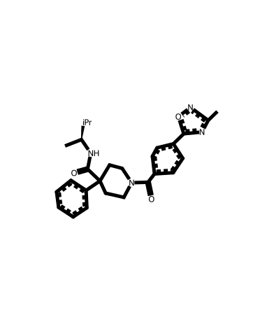 Cc1noc(-c2ccc(C(=O)N3CCC(C(=O)N[C@@H](C)C(C)C)(c4ccccc4)CC3)cc2)n1